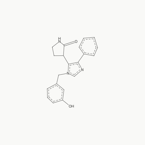 O=C1NCCC1c1c(-c2ccccc2)ncn1Cc1cccc(O)c1